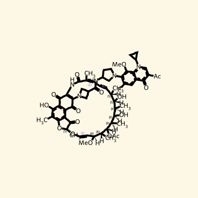 COc1c(N2CCC(NC(=O)C3CN(C4=C5NC(=O)/C(C)=C\C=C\[C@H](C)[C@H](O)[C@@H](C)[C@@H](O)[C@@H](C)[C@H](OC(C)=O)[C@H](C)[C@@H](OC)/C=C/O[C@@]6(C)Oc7c(C)c(O)c(c(c7C6=O)C4=O)C5=O)C3)C2)c(F)cc2c(=O)c(C(C)=O)cn(C3CC3)c12